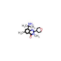 Cc1cc(C(C)(C)N)c2nc(C3CCOCC3)n(C)c(=O)c2c1